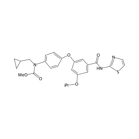 COC(=O)N(CC1CC1)c1ccc(Oc2cc(OC(C)C)cc(C(=O)Nc3nccs3)c2)cc1